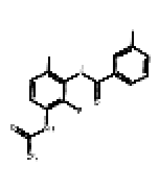 O=C(Nc1c(F)ccc(NC(=O)C(F)(F)F)c1F)c1cccc(F)c1